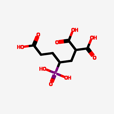 O=C(O)CCC(CC(C(=O)O)C(=O)O)P(=O)(O)O